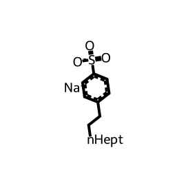 CCCCCCCCCc1ccc(S(=O)(=O)[O-])cc1.[Na+]